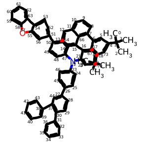 CC(C)(C)c1cc(-c2cccc3cccc(-c4ccccc4N(c4ccc(-c5ccc(-c6ccccc6)c(-c6ccccc6)c5)cc4)c4ccc(-c5ccc6c(c5)oc5ccccc56)cc4)c23)cc(C(C)(C)C)c1